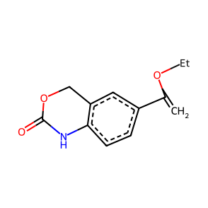 C=C(OCC)c1ccc2c(c1)COC(=O)N2